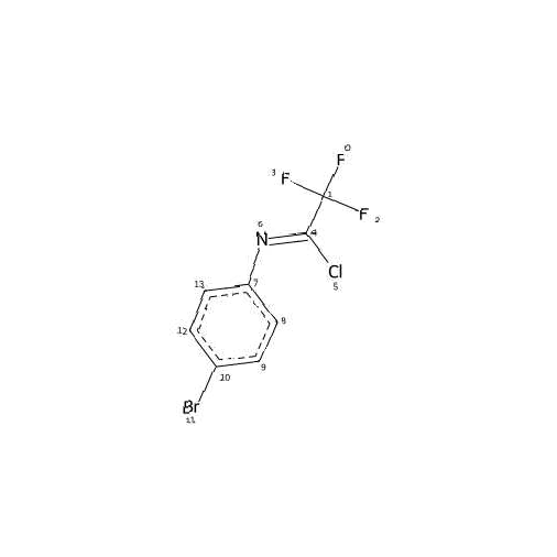 FC(F)(F)C(Cl)=Nc1ccc(Br)cc1